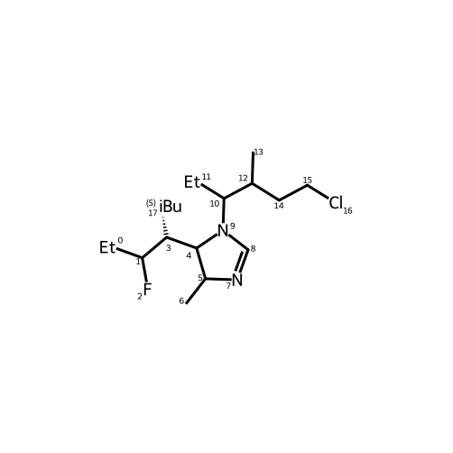 CCC(F)C(C1C(C)N=CN1C(CC)C(C)CCCl)[C@@H](C)CC